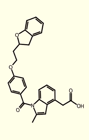 Cc1cc2c(CC(=O)O)cccc2n1C(=O)c1ccc(OCCC2Cc3ccccc3O2)cc1